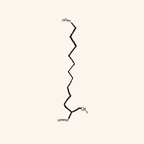 CCCCCCCCCCCCCCCCCCCC[C](C)CCCCCCC